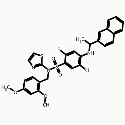 COc1ccc(CN(c2nccs2)S(=O)(=O)c2cc(Cl)c(NC(C)c3ccc4ccccc4c3)cc2F)c(OC)c1